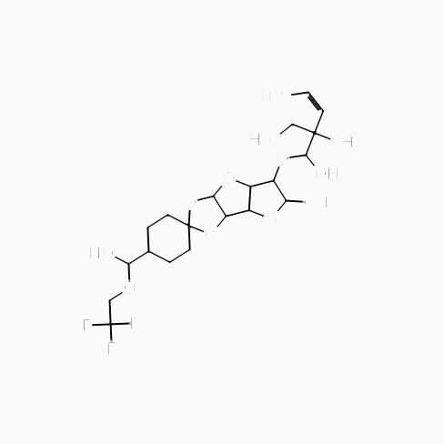 C/C=C\C(C)(CC)C(O)OC1C(O)OC2C3OC4(CCC(C(O)OCC(F)(F)F)CC4)OC3OC12